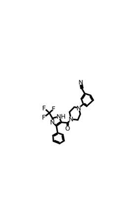 N#Cc1cccc(N2CCN(C(=O)c3[nH]c(C(F)(F)F)nc3-c3ccccc3)CC2)c1